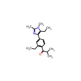 CCc1cc(-c2nc(C)n(C)c2CC)ccc1C(=O)C(C)C